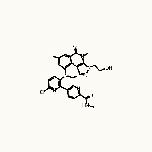 CCN(c1ccc(Cl)nc1-c1ccc(C(=O)NC)nc1)c1cc(C)cc2c(=O)n(C)c3c(cnn3CCO)c12